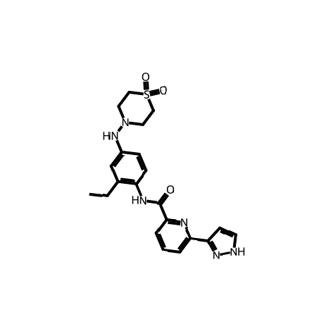 CCc1cc(NN2CCS(=O)(=O)CC2)ccc1NC(=O)c1cccc(-c2cc[nH]n2)n1